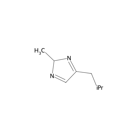 CC(C)CC1=NC(C)N=C1